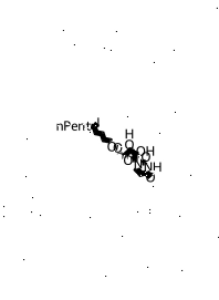 CCCCCC(I)CCCCOOC[C@H]1O[C@@H](n2ccc(=O)[nH]c2=O)[C@H](O)[C@@H]1O